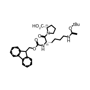 C=C(NCCCC[C@H](NC(=O)OCC1c2ccccc2-c2ccccc21)C(=O)N1CCC[C@H]1C(=O)O)OC(C)(C)C